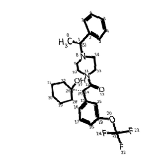 C[C@@H](c1ccccc1)N1CCN(C(=O)[C@H](c2cccc(OC(F)(F)F)c2)C2(O)CCCCC2)CC1